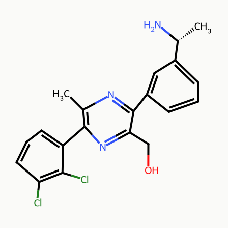 Cc1nc(-c2cccc([C@@H](C)N)c2)c(CO)nc1-c1cccc(Cl)c1Cl